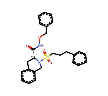 O=C(NOCc1ccccc1)[C@H]1Cc2ccccc2CN1S(=O)(=O)CCCc1ccccc1